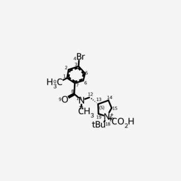 Cc1cc(Br)ccc1C(=O)N(C)C[C@@H]1CC[N+](C(=O)O)(C(C)(C)C)C1